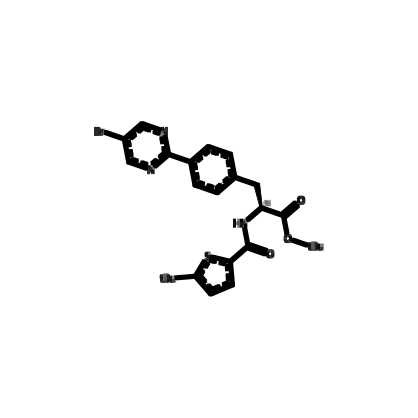 CC(C)(C)OC(=O)[C@H](Cc1ccc(-c2ncc(Br)cn2)cc1)NC(=O)c1ccc(C(C)(C)C)s1